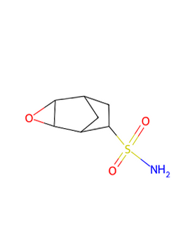 NS(=O)(=O)C1CC2CC1C1OC21